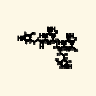 Cc1c[nH]cc1CCNC1=NC(CCN(CCc2c[nH]cc2C)C2=NC(C)N=C(N)N2)N=C(N)N1